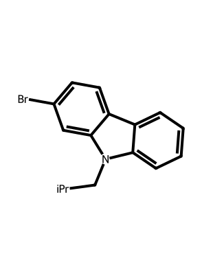 CC(C)Cn1c2ccccc2c2ccc(Br)cc21